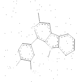 CCCCn1c2ccccc2c2cc(C=O)nc(-c3ccc(OC)c(OC)c3)c21